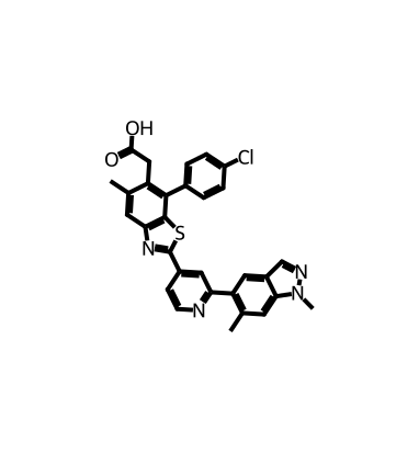 Cc1cc2c(cnn2C)cc1-c1cc(-c2nc3cc(C)c(CC(=O)O)c(-c4ccc(Cl)cc4)c3s2)ccn1